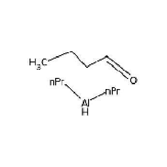 CCCC=O.CC[CH2][AlH][CH2]CC